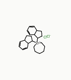 C1=CC2CC[CH]([Zr+2]3([CH]4CCC5C=CC=CC54)[CH2]CCCC[CH2]3)C2C=C1.[Cl-].[Cl-]